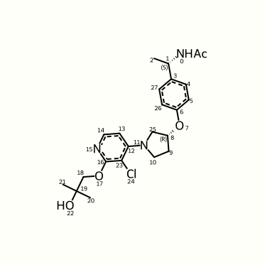 CC(=O)N[C@@H](C)c1ccc(O[C@@H]2CCN(c3ccnc(OCC(C)(C)O)c3Cl)C2)cc1